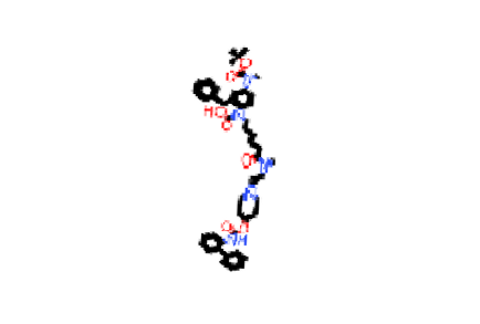 CN(CCN1CCC(OC(=O)Nc2ccccc2-c2ccccc2)CC1)C(=O)CCCCCN(C(=O)O)c1ccc(N(C)C(=O)OC(C)(C)C)cc1Cc1ccccc1